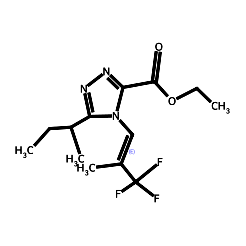 CCOC(=O)c1nnc(C(C)CC)n1/C=C(\C)C(F)(F)F